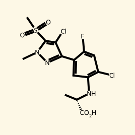 C[C@H](Nc1cc(-c2nn(C)c(S(C)(=O)=O)c2Cl)c(F)cc1Cl)C(=O)O